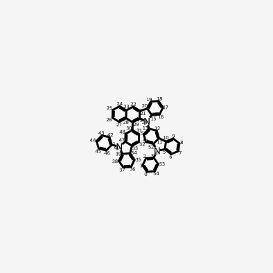 c1ccc(-n2c3ccccc3c3cc(-n4c5ccccc5c5cc6ccccc6c(-c6ccc7c8ccccc8n(-c8ccccc8)c7c6)c54)ccc32)cc1